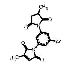 CC(=O)c1cc(N2C(=O)C=C(C)C2=O)cc(N2C(=O)CC(C)C2=O)c1